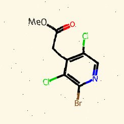 COC(=O)Cc1c(Cl)cnc(Br)c1Cl